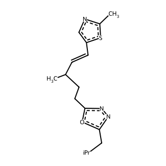 Cc1ncc(/C=C/C(C)CCc2nnc(CC(C)C)o2)s1